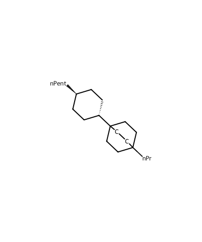 CCCCC[C@H]1CC[C@H](C23CCC(CCC)(CC2)CC3)CC1